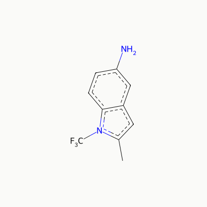 Cc1cc2cc(N)ccc2n1C(F)(F)F